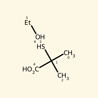 CC(C)(S)C(=O)O.CCO